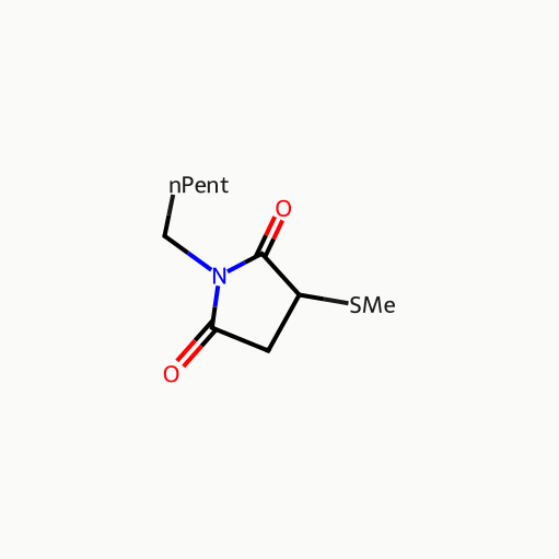 CCCCCCN1C(=O)CC(SC)C1=O